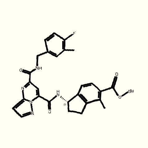 Cc1cc(CNC(=O)c2cc(C(=O)N[C@H]3CCc4c3ccc(C(=O)OC(C)(C)C)c4C)n3nccc3n2)ccc1F